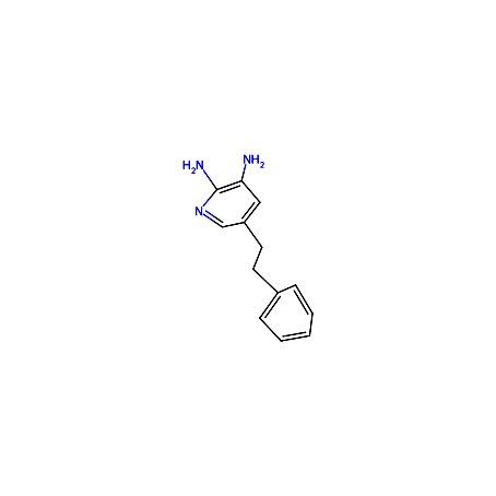 Nc1cc(CCc2ccccc2)cnc1N